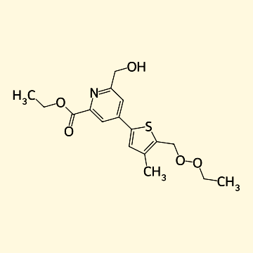 CCOOCc1sc(-c2cc(CO)nc(C(=O)OCC)c2)cc1C